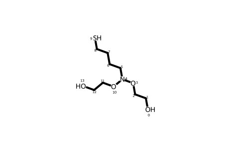 OCCON(CCCCS)OCCO